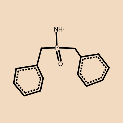 [NH]P(=O)(Cc1ccccc1)Cc1ccccc1